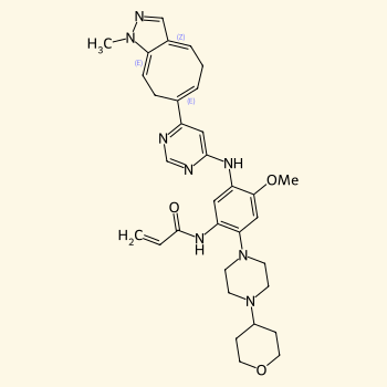 C=CC(=O)Nc1cc(Nc2cc(/C3=C/C/C=c4/cnn(C)/c4=C/C3)ncn2)c(OC)cc1N1CCN(C2CCOCC2)CC1